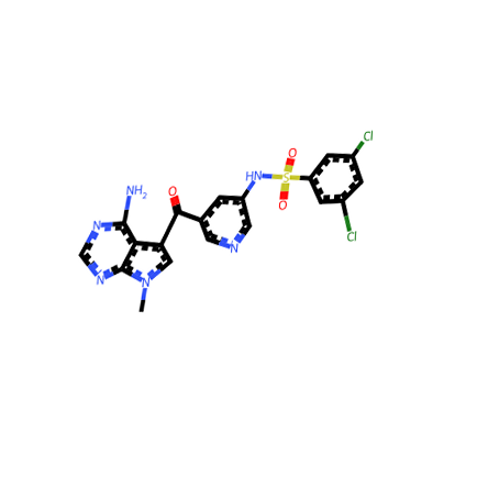 Cn1cc(C(=O)c2cncc(NS(=O)(=O)c3cc(Cl)cc(Cl)c3)c2)c2c(N)ncnc21